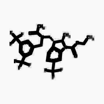 CCOC(=O)N1c2cc(C(F)(F)F)ccc2[C@H](CN(Cc2cc(C(F)(F)F)cc(C(F)(F)F)c2)C(C)=O)[C@H]1C